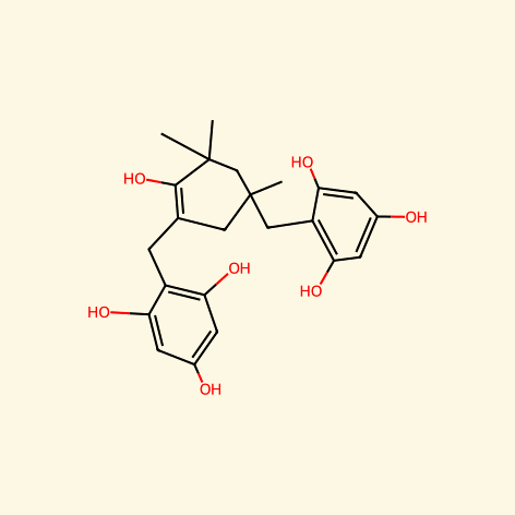 CC1(Cc2c(O)cc(O)cc2O)CC(Cc2c(O)cc(O)cc2O)=C(O)C(C)(C)C1